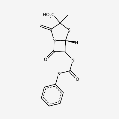 C=C1N2C(=O)C(NC(=O)Sc3ccccc3)[C@H]2SC1(C)C(=O)O